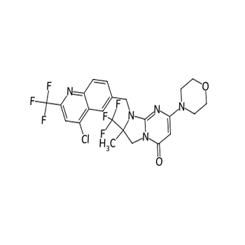 CC1(C(F)(F)F)Cn2c(nc(N3CCOCC3)cc2=O)N1Cc1ccc2nc(C(F)(F)F)cc(Cl)c2c1